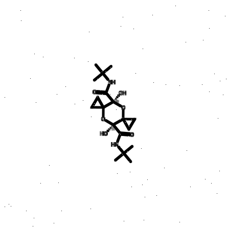 CC(C)(C)NC(=O)[C@@]1(O)OC2(CC2)[C@@](O)(C(=O)NC(C)(C)C)OC12CC2